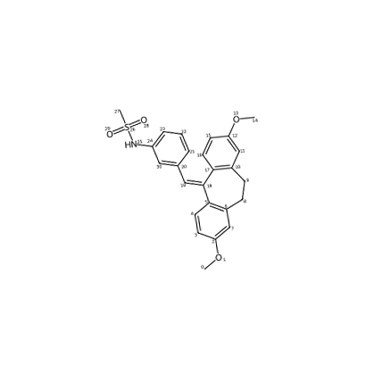 COc1ccc2c(c1)CCc1cc(OC)ccc1C2=Cc1cccc(NS(C)(=O)=O)c1